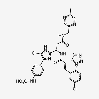 Cc1cnc(CNC(=O)C[C@H](NC(=O)/C=C/c2cc(Cl)ccc2-n2cnnn2)c2nc(-c3ccc(NC(=O)O)cc3)c(Cl)[nH]2)cn1